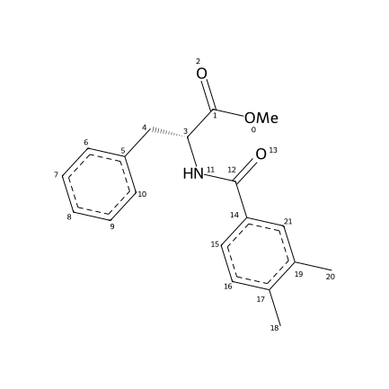 COC(=O)[C@@H](Cc1ccccc1)NC(=O)c1ccc(C)c(C)c1